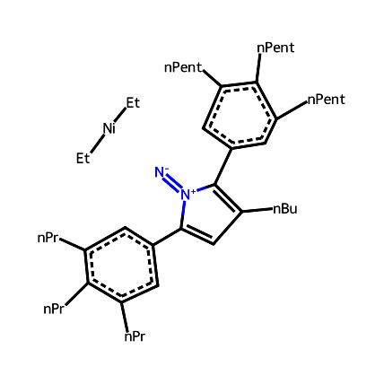 CCCCCc1cc(C2=C(CCCC)C=C(c3cc(CCC)c(CCC)c(CCC)c3)[N+]2=[N-])cc(CCCCC)c1CCCCC.C[CH2][Ni][CH2]C